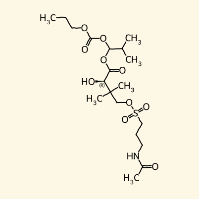 CCCOC(=O)OC(OC(=O)[C@H](O)C(C)(C)COS(=O)(=O)CCCNC(C)=O)C(C)C